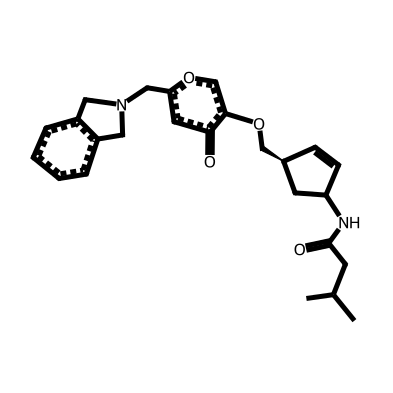 CC(C)CC(=O)NC1C=C[C@H](COc2coc(CN3Cc4ccccc4C3)cc2=O)C1